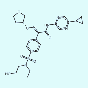 CCN(CCO)S(=O)(=O)c1ccc(/C(=N\O[C@@H]2CCOC2)C(=O)Nc2cnc(C3CC3)cn2)cc1